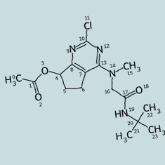 CC(=O)OC1CCc2c1nc(Cl)nc2N(C)CC(=O)NC(C)(C)C